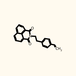 C=Cc1ccc(CCN2C(=O)c3cccc4cccc(c34)C2=O)cc1